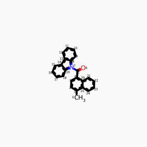 Cc1ccc(C(=O)n2c3ccccc3c3ccccc32)c2ccccc12